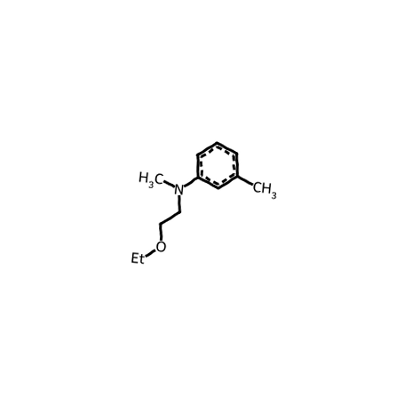 CCOCCN(C)c1cccc(C)c1